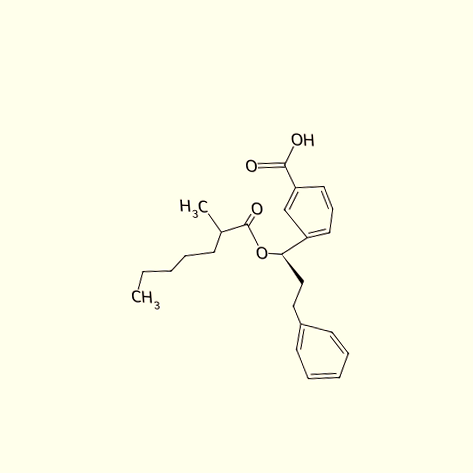 CCCCCC(C)C(=O)O[C@H](CCc1ccccc1)c1cccc(C(=O)O)c1